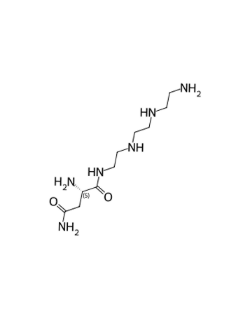 NCCNCCNCCNC(=O)[C@@H](N)CC(N)=O